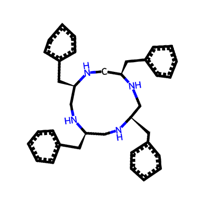 c1ccc(C[C@@H]2CN[C@H](Cc3ccccc3)CN[C@H](Cc3ccccc3)CN[C@H](Cc3ccccc3)CN2)cc1